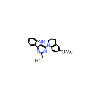 COc1ccc2c(c1)CCCN2c1nc(C)nc2c1[nH]c1ccccc12.Cl